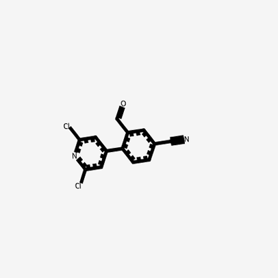 N#Cc1ccc(-c2cc(Cl)nc(Cl)c2)c(C=O)c1